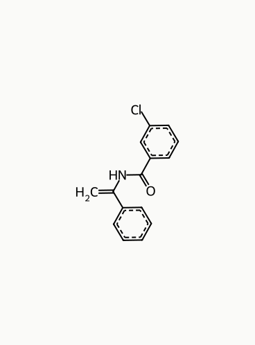 C=C(NC(=O)c1cccc(Cl)c1)c1ccccc1